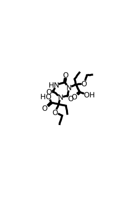 CCOC(CC)(C(=O)O)n1c(=O)[nH]c(=O)n(C(CC)(OCC)C(=O)O)c1=O